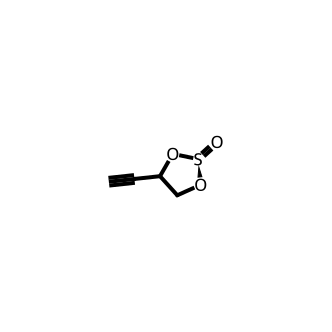 C#CC1CO[S@](=O)O1